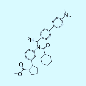 [2H]C(c1ccc(-c2ccc(N(C)C)cc2)cc1)N(C(=O)C1CCCCC1)c1cccc(C2CCCC2C(=O)OC)c1